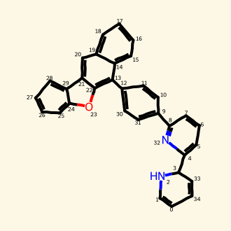 C1=CNC(c2cccc(-c3ccc(-c4c5ccccc5cc5c4oc4ccccc45)cc3)n2)C=C1